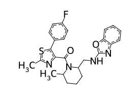 Cc1nc(C(=O)N2C(C)CCCC2CNc2nc3ccccc3o2)c(-c2ccc(F)cc2)s1